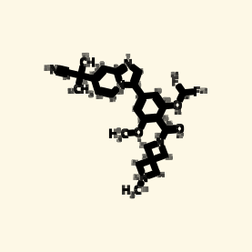 COc1cc(-c2cnc3cc(C(C)(C)C#N)ccn23)cc(OC(F)F)c1C(=O)N1CC2(CN(C)C2)C1